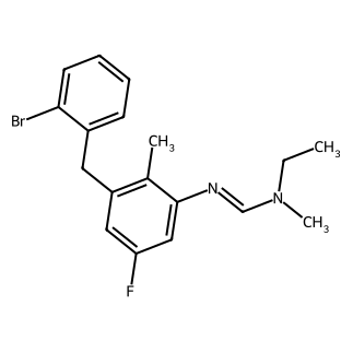 CCN(C)C=Nc1cc(F)cc(Cc2ccccc2Br)c1C